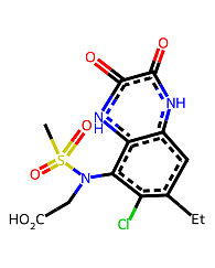 CCc1cc2[nH]c(=O)c(=O)[nH]c2c(N(CC(=O)O)S(C)(=O)=O)c1Cl